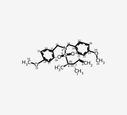 C=C[C@H](C)[C@@H](C)S(=O)(=O)N(Cc1ccc(OC)cc1)Cc1ccc(OC)cc1